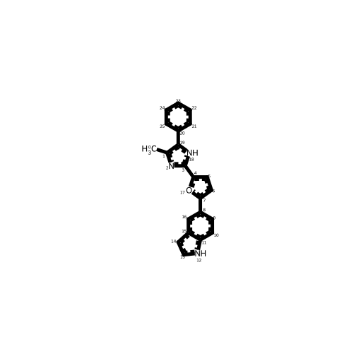 Cc1nc(-c2ccc(-c3ccc4[nH]ccc4c3)o2)[nH]c1-c1ccccc1